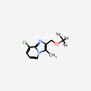 [2H]C([2H])([2H])OCc1nc2c(Cl)cccn2c1C